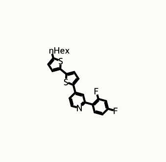 CCCCCCc1ccc(-c2ccc(-c3ccnc(-c4ccc(F)cc4F)c3)s2)s1